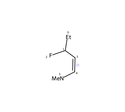 CCC(F)/C=C\NC